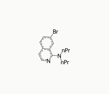 CCCN(CCC)c1nccc2ccc(Br)cc12